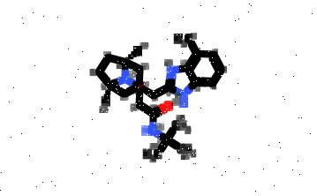 Cc1cccc2[nH]c(C[C@H]3C[C@H]4CC[C@@H](C3)N4CCC(=O)NC(C)(C)C)nc12